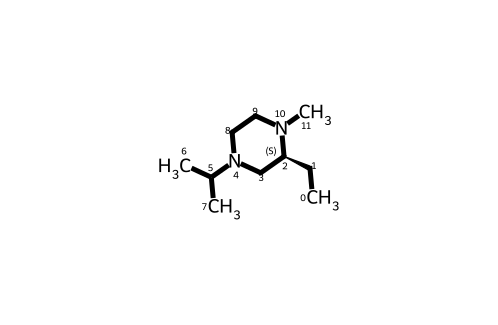 CC[C@H]1CN(C(C)C)CCN1C